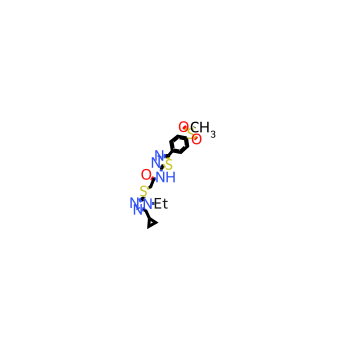 CCn1c(SCC(=O)Nc2nnc(-c3ccc(S(C)(=O)=O)cc3)s2)nnc1C1CC1